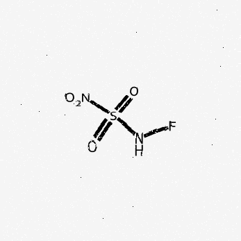 O=[N+]([O-])S(=O)(=O)NF